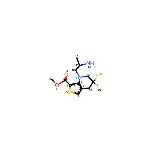 COC(=O)c1scc2c1N(CC(C)N)CC(F)(F)C2